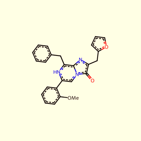 COc1ccccc1-c1cn2c(=O)c(Cc3ccco3)nc-2c(Cc2ccccc2)[nH]1